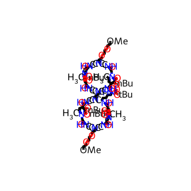 CCCCOc1c2cc(C)n(c1=O)CC(=O)NCCN(CCOCCOCCOC)CCNC(=O)Cn1c(C)cc(c(OCCCC)c1=O)C(=O)NCCN(CCN1CCNC(=O)c3cc(C)n(c(=O)c3OCCCC)CC(=O)NCCN(CCOCCOCCOC)CCNC(=O)Cn3c(C)cc(c(OCCCC)c3=O)C(=O)NC(CCCCNC(=O)OC(C)(C)C)C1)CCNC2=O